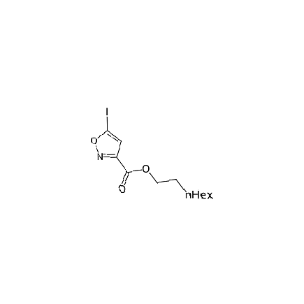 CCCCCCCCOC(=O)c1cc(I)on1